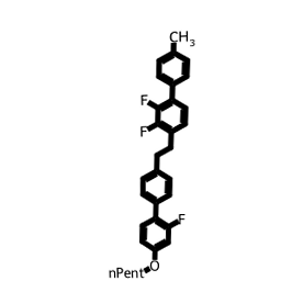 CCCCCOc1ccc(-c2ccc(CCc3ccc(-c4ccc(C)cc4)c(F)c3F)cc2)c(F)c1